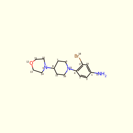 Nc1ccc(N2CCC(N3CCOCC3)CC2)c(Br)c1